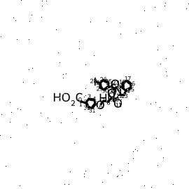 O=C(O)Cc1ccc(OCCNC(=O)[C@@H]2Cc3ccccc3N2S(=O)(=O)c2ccc(I)cc2)cc1